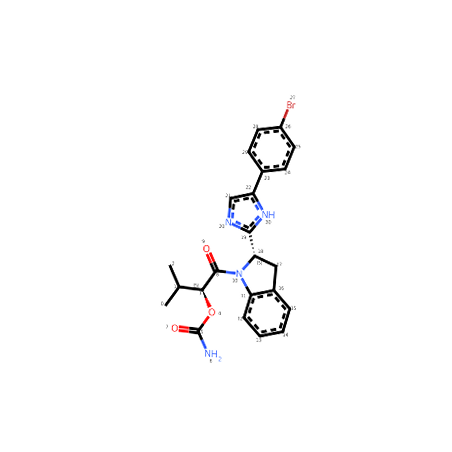 CC(C)[C@H](OC(N)=O)C(=O)N1c2ccccc2C[C@H]1c1ncc(-c2ccc(Br)cc2)[nH]1